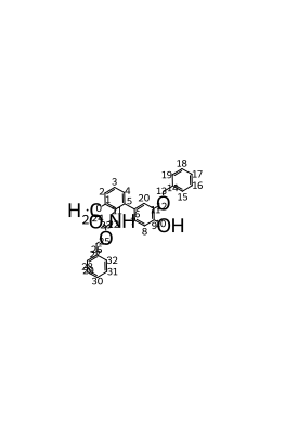 [CH2]c1cccc(-c2ccc(O)c(OCc3ccccc3)c2)c1NC(=O)OCc1ccccc1